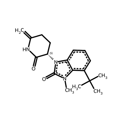 C=C1CC[C@H](n2c(=O)n(C)c3c(C(C)(C)C)cccc32)C(=O)N1